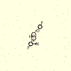 N#Cc1cc(F)ccc1N1CCN2C[C@H](COc3ccc(F)cc3)CC[C@H]2C1